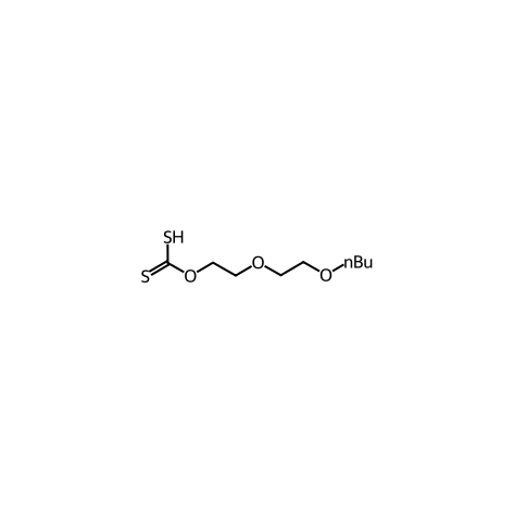 CCCCOCCOCCOC(=S)S